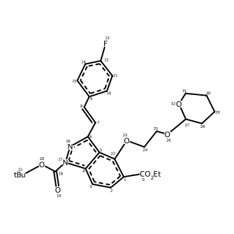 CCOC(=O)c1ccc2c(c(/C=C/c3ccc(F)cc3)nn2C(=O)OC(C)(C)C)c1OCCOC1CCCCO1